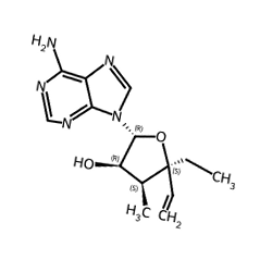 C=C[C@]1(CC)O[C@@H](n2cnc3c(N)ncnc32)[C@H](O)[C@@H]1C